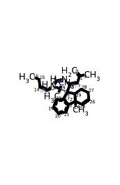 C=C(C)/C=C(\N=C/C)[C@]1(C(C)(C)N/C=C\CC)c2ccccc2C2(C)C=CCCC21